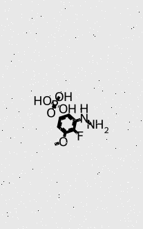 COc1cccc(NN)c1F.O=P(O)(O)O